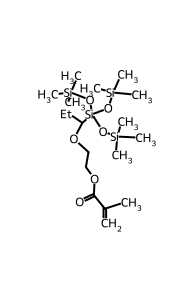 C=C(C)C(=O)OCCOC(CC)[Si](O[Si](C)(C)C)(O[Si](C)(C)C)O[Si](C)(C)C